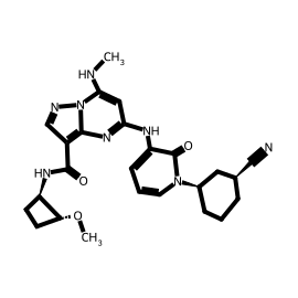 CNc1cc(Nc2cccn([C@@H]3CCC[C@H](C#N)C3)c2=O)nc2c(C(=O)N[C@@H]3CC[C@H]3OC)cnn12